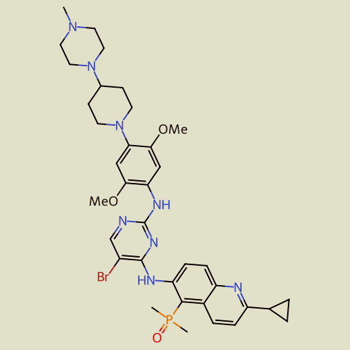 COc1cc(N2CCC(N3CCN(C)CC3)CC2)c(OC)cc1Nc1ncc(Br)c(Nc2ccc3nc(C4CC4)ccc3c2P(C)(C)=O)n1